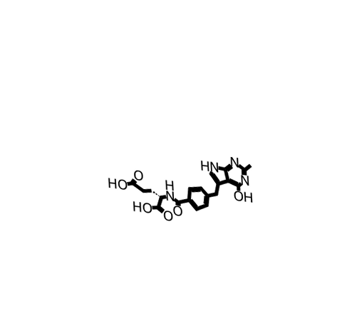 Cc1nc(O)c2c(Cc3ccc(C(=O)N[C@@H](CCC(=O)O)C(=O)O)cc3)c[nH]c2n1